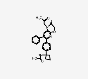 CC(=O)CN1C(=O)COc2nc(-c3ccc(C4(NC(=O)O)CCC4)cc3)c(-c3ccccc3)cc21